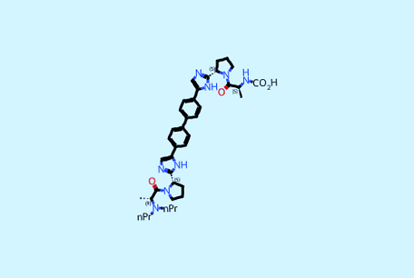 CCCN(CCC)[C@H](C)C(=O)N1CCC[C@H]1c1ncc(-c2ccc(-c3ccc(-c4cnc([C@@H]5CCCN5C(=O)[C@H](C)NC(=O)O)[nH]4)cc3)cc2)[nH]1